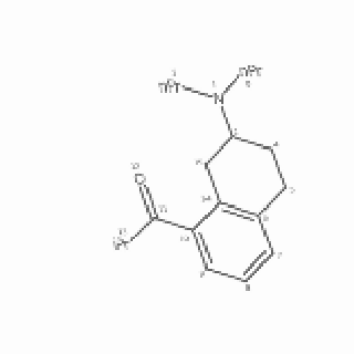 CCCN(CCC)C1CCc2cccc(C(=O)C(C)C)c2C1